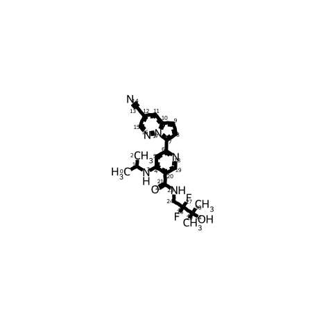 CC(C)Nc1cc(-c2ccc3cc(C#N)cnn23)ncc1C(=O)NCC(F)(F)C(C)(C)O